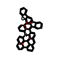 c1ccc(-c2cccc3cccc(-c4ccccc4N(c4cccc(-c5cccc6c5oc5ccccc56)c4)c4ccccc4-c4cccc5sc6ccccc6c45)c23)cc1